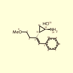 COCCC(=Cc1ccccc1)[C@@H]1C[C@H]1N.Cl